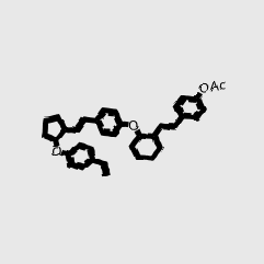 C=Cc1ccc(OC2CCCC2/C=C/c2ccc(OC3CCCCC3/C=C/c3ccc(OC(C)=O)cc3)cc2)cc1